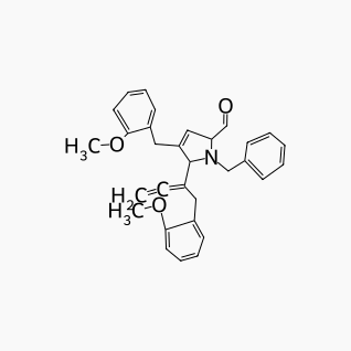 C=C=C(Cc1ccccc1OC)C1C(Cc2ccccc2OC)=CC(C=O)N1Cc1ccccc1